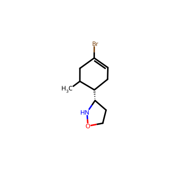 CC1CC(Br)=CCC1[C@@H]1CCON1